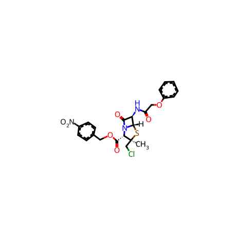 C[C@@]1(CCl)S[C@H]2[C@H](NC(=O)COc3ccccc3)C(=O)N2[C@H]1C(=O)OCc1ccc([N+](=O)[O-])cc1